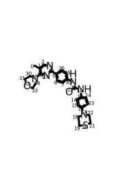 Cc1cnc(-c2ccc(NC(=O)Nc3ccc(N4CCSCC4)cc3)cc2)nc1N1CCOCC1